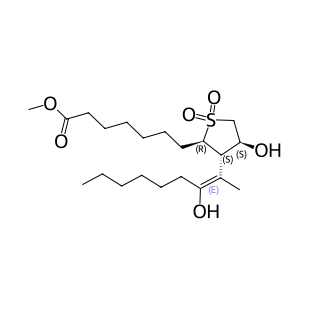 CCCCCC/C(O)=C(/C)[C@H]1[C@H](O)CS(=O)(=O)[C@@H]1CCCCCCC(=O)OC